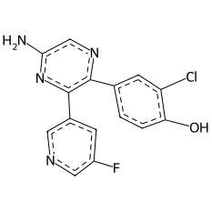 Nc1cnc(-c2ccc(O)c(Cl)c2)c(-c2cncc(F)c2)n1